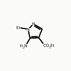 CCOC(=O)c1cnn(CC)c1N